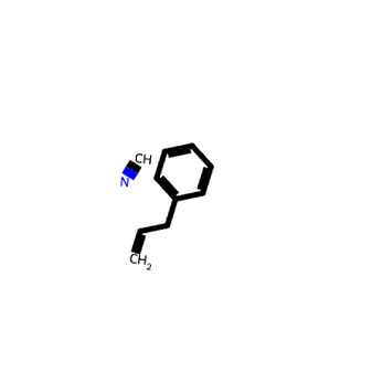 C#N.C=CCc1ccccc1